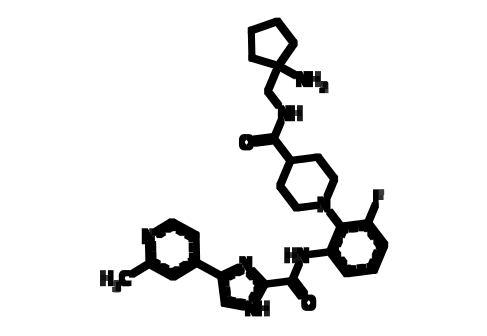 Cc1cc(-c2c[nH]c(C(=O)Nc3cccc(F)c3N3CCC(C(=O)NCC4(N)CCCC4)CC3)n2)ccn1